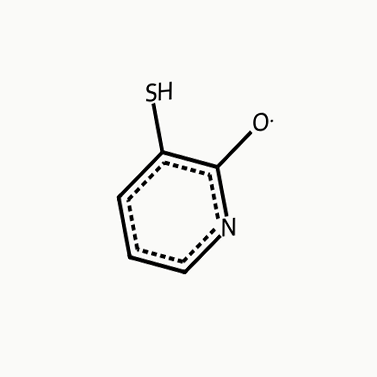 [O]c1ncccc1S